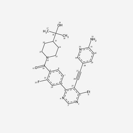 CCc1ncnc(-c2ccc(C(=O)N3CCC(C(C)(C)O)CC3)c(F)c2)c1C#Cc1ccc(N)nc1